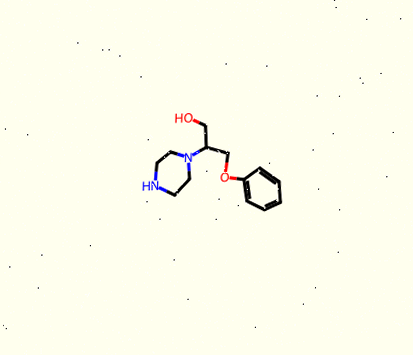 OCC(COc1ccccc1)N1CCNCC1